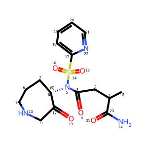 CC([CH]C(=O)N([C@H]1CCCNCC1=O)S(=O)(=O)c1ccccn1)C(N)=O